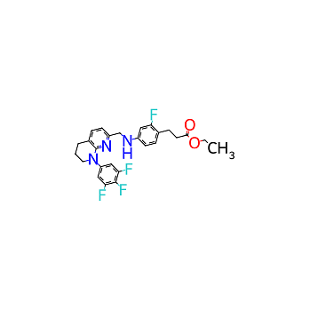 CCOC(=O)CCc1ccc(NCc2ccc3c(n2)N(c2cc(F)c(F)c(F)c2)CCC3)cc1F